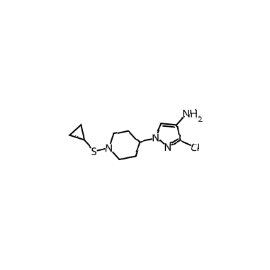 Nc1cn(C2CCN(SC3CC3)CC2)nc1Cl